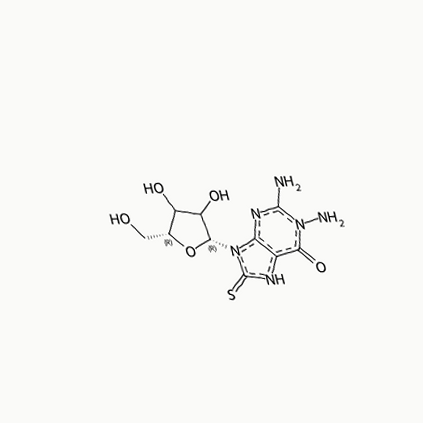 Nc1nc2c([nH]c(=S)n2[C@@H]2O[C@H](CO)C(O)C2O)c(=O)n1N